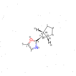 Cc1cnc([C@H]2[C@@H]3CCC[C@@H]32)o1